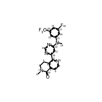 CN1CCc2c(ccnc2-c2cc(N(C)c3cc(F)cc(C(F)(F)F)c3)ncn2)C1=O